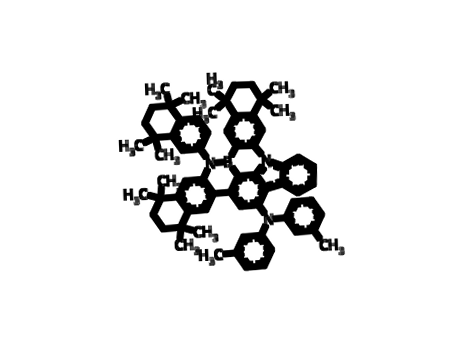 Cc1cccc(N(c2cccc(C)c2)c2cc3c4c5c2c2ccccc2n5-c2cc5c(cc2B4N(c2ccc4c(c2)C(C)(C)CCC4(C)C)c2cc4c(cc2-3)C(C)(C)CCC4(C)C)C(C)(C)CCC5(C)C)c1